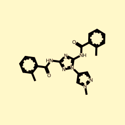 Cc1ccccc1C(=O)Nc1nc(NC(=O)c2ccccc2C)n(-c2cnn(C)c2)n1